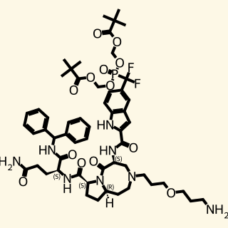 CC(C)(C)C(=O)OCOP(=O)(OCOC(=O)C(C)(C)C)C(F)(F)c1ccc2[nH]c(C(=O)N[C@H]3CN(CCCOCCCN)CC[C@H]4CC[C@@H](C(=O)N[C@@H](CCC(N)=O)C(=O)NC(c5ccccc5)c5ccccc5)N4C3=O)cc2c1